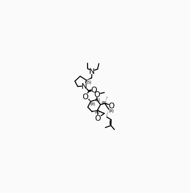 CCN(CC)C[C@@H]1CCCN1C(=O)O[C@@H]1CC[C@]2(CO2)C([C@@]2(C)O[C@@H]2CC=C(C)C)[C@@H]1OC